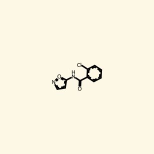 O=C(Nc1ccno1)c1ccccc1Cl